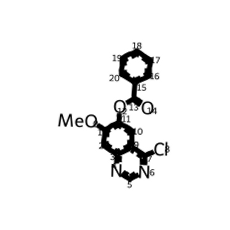 COc1cc2ncnc(Cl)c2cc1OC(=O)c1ccccc1